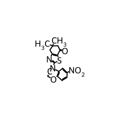 CC1(C)CC(=O)c2sc(N3CCOc4ccc([N+](=O)[O-])cc43)nc2C1